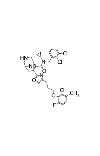 Cc1ccc(F)c(OCCCc2coc(C3=C(C(=O)N(Cc4cccc(Cl)c4Cl)C4CC4)C4CNCC(C3)N4)n2)c1Cl